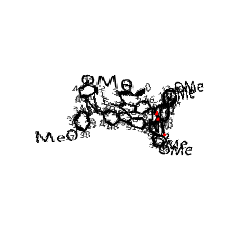 C#C/C=C\C1=C(C)C2(c3cc(N(c4ccc(OC)cc4)c4ccc(OC)cc4)ccc31)c1cc(N(c3ccc(OC)cc3)c3ccc(OC)cc3)ccc1-c1ccc(N(c3ccc(OC)cc3)c3ccc(OC)cc3)cc12